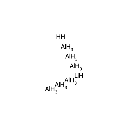 [AlH3].[AlH3].[AlH3].[AlH3].[AlH3].[AlH3].[HH].[LiH]